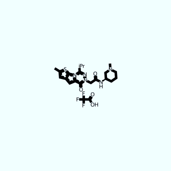 Cc1cc2cc3c(=O)n(CC(=O)N[C@@H]4CCCN(C)C4)nc(C(C)C)n3c2s1.O=C(O)C(F)(F)F